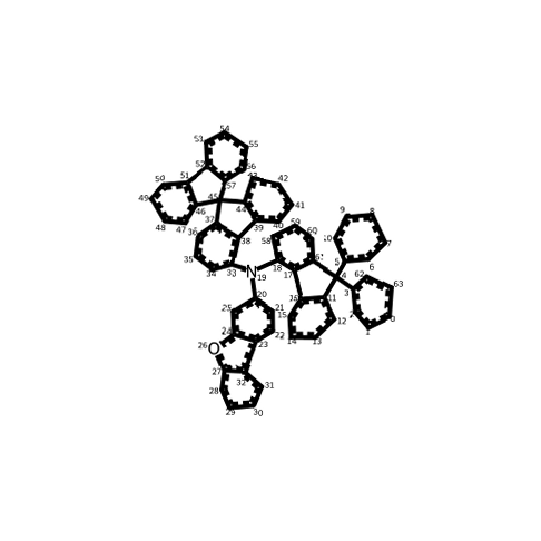 c1ccc(C2(c3ccccc3)c3ccccc3-c3c(N(c4ccc5c(c4)oc4ccccc45)c4cccc5c4-c4ccccc4C54c5ccccc5-c5ccccc54)cccc32)cc1